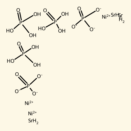 O=P(O)(O)O.O=P(O)(O)O.O=P(O)(O)O.O=P([O-])([O-])[O-].O=P([O-])([O-])[O-].[Ni+2].[Ni+2].[Ni+2].[SrH2].[SrH2].[SrH2]